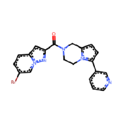 O=C(c1cc2ccc(Br)cn2n1)N1CCn2c(ccc2-c2cccnc2)C1